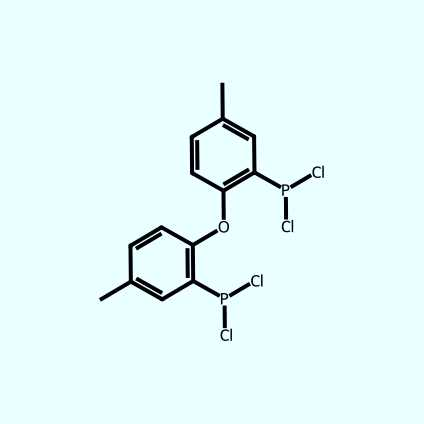 Cc1ccc(Oc2ccc(C)cc2P(Cl)Cl)c(P(Cl)Cl)c1